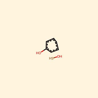 OS.Oc1ccccc1